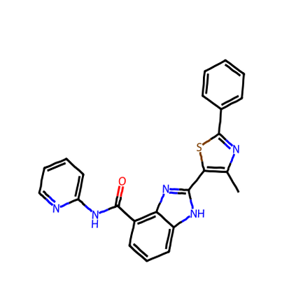 Cc1nc(-c2ccccc2)sc1-c1nc2c(C(=O)Nc3ccccn3)cccc2[nH]1